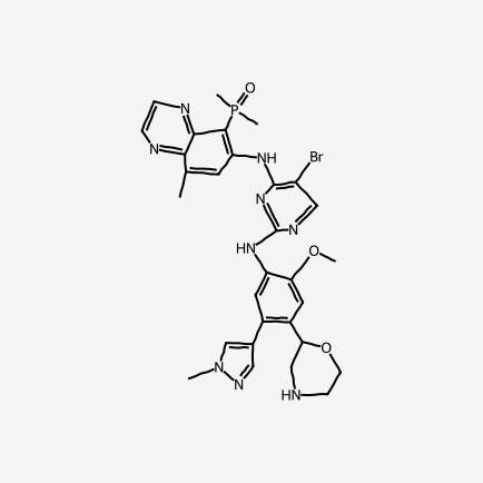 COc1cc(C2CNCCO2)c(-c2cnn(C)c2)cc1Nc1ncc(Br)c(Nc2cc(C)c3nccnc3c2P(C)(C)=O)n1